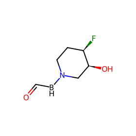 O=CBN1CC[C@@H](F)[C@@H](O)C1